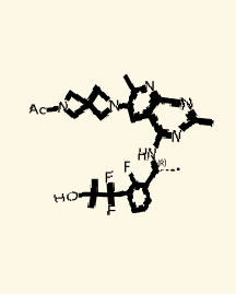 CC(=O)N1CC2(C1)CN(c1cc3c(N[C@H](C)c4cccc(C(F)(F)C(C)(C)O)c4F)nc(C)nc3nc1C)C2